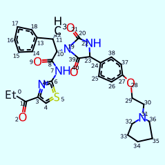 CCC(=O)c1csc(NC(=O)[C@H]([C@@H](C)c2ccccc2)N2C(=O)NC(c3ccc(OCCN4CCCCC4)cc3)C2=O)n1